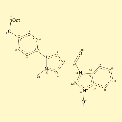 CCCCCCCCOc1ccc(-c2cc(C(=O)n3n[n+]([O-])c4ccccc43)nn2C)cc1